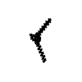 CCCCCCCCCCCCOC(=O)C1CCC(C)CC1C(=O)OCCCCCCCCCCCC